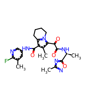 Cc1noc([C@H](C)NC(=O)C(=O)c2c(C)c(C(=O)Nc3cnc(F)c(C)c3)c3n2CCCC3)n1